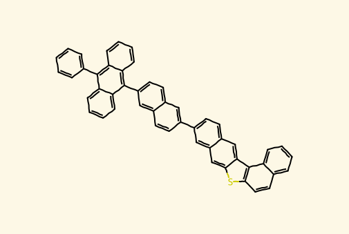 c1ccc(-c2c3ccccc3c(-c3ccc4cc(-c5ccc6cc7c(cc6c5)sc5ccc6ccccc6c57)ccc4c3)c3ccccc23)cc1